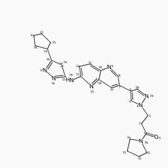 O=C(CCn1cc(-c2cnc3ccc(Nc4nnc(C5CCCC5)s4)nc3c2)cn1)N1CCCC1